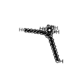 O=P(OOOOOOOOOOOOOOO)(OOOOOOOOOOOOOOOO)O[C@H]1C(O)C(O)[C@@H](O)[C@@H](O)C1O